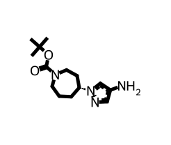 CC(C)(C)OC(=O)N1CCC[C@@H](n2cc(N)cn2)CC1